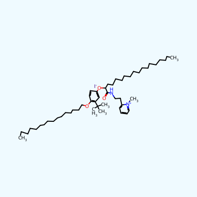 CCCCCCCCCCCCCCCCOc1ccc(OC(CCCCCCCCCCCCCCCC)C(=O)NCCc2cccc[n+]2C)cc1C(C)(C)C.[I-]